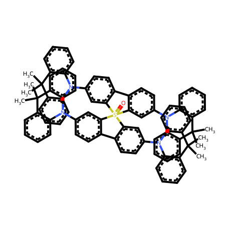 CC1(C)c2ccccc2N(c2ccc3c(c2)S2(=O)(c4cc(N5c6ccccc6C(C)(C)c6ccccc65)ccc4-3)c3cc(N4c5ccccc5C(C)(C)c5ccccc54)ccc3-c3ccc(N4c5ccccc5C(C)(C)c5ccccc54)cc32)c2ccccc21